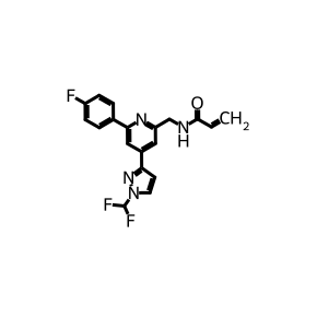 C=CC(=O)NCc1cc(-c2ccn(C(F)F)n2)cc(-c2ccc(F)cc2)n1